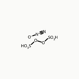 N#[N+][O-].O=S(=O)(O)OOS(=O)(=O)O